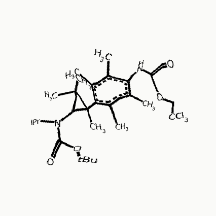 Cc1c(C)c(C2(C)C(N(C(=O)OC(C)(C)C)C(C)C)C2(C)C)c(C)c(C)c1NC(=O)OCC(Cl)(Cl)Cl